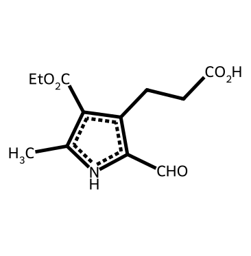 CCOC(=O)c1c(C)[nH]c(C=O)c1CCC(=O)O